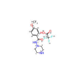 O=C(NN1CCNCC1)c1ccc(OC(F)(F)F)cc1.O=C(O)C(F)(F)F